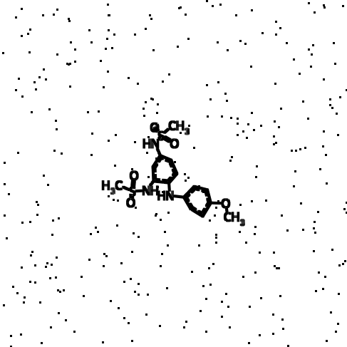 COc1ccc(Nc2ccc(NS(C)(=O)=O)cc2NS(C)(=O)=O)cc1